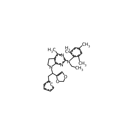 CCN(c1nc(C)c2c(n1)N(C(Cc1ccccc1)C1=COCO1)CC2)c1c(C)cc(C)cc1C